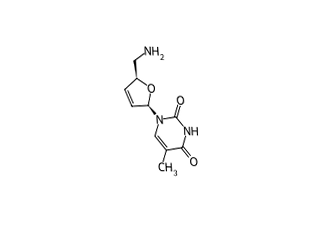 Cc1cn([C@H]2C=C[C@@H](CN)O2)c(=O)[nH]c1=O